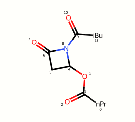 CCCC(=O)OC1CC(=O)N1C(=O)C(C)CC